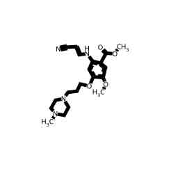 COC(=O)c1cc(OC)c(OCCCN2CCN(C)CC2)cc1NC=CC#N